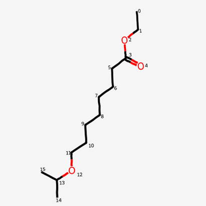 CCOC(=O)CCCCCCCOC(C)C